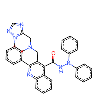 O=C(NN(c1ccccc1)c1ccccc1)c1c(CN2CCn3ncnc3C2)c(-c2ccccc2)nc2ccccc12